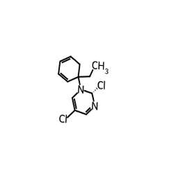 CCC1(N2C=C(Cl)C=N[C@H]2Cl)C=CC=CC1